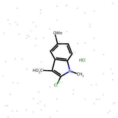 COc1ccc2c(c1)c(C(=O)O)c(Cl)n2C.Cl